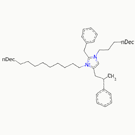 CCCCCCCCCCCCCCCCCCC[n+]1c(CC(C)c2ccccc2)cn(CCCCCCCCCCCCC)c1Cc1ccccc1